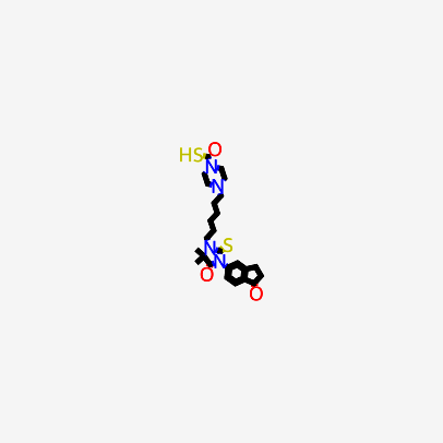 CC1(C)C(=O)N(c2ccc3c(c2)CCC3=O)C(=S)N1CCCCCCN1CCN(C(=O)S)CC1